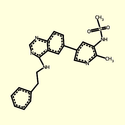 Cc1ncc(-c2ccc3ncnc(NCCc4ccccc4)c3c2)cc1NS(C)(=O)=O